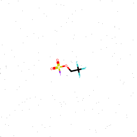 O=S(=O)(I)OCC(F)(F)F